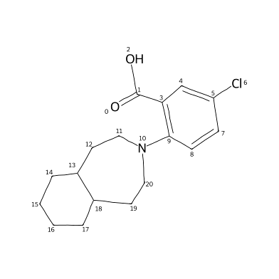 O=C(O)c1cc(Cl)ccc1N1CCC2CCCCC2CC1